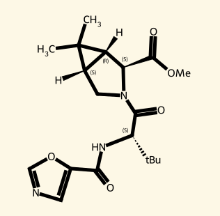 COC(=O)[C@@H]1[C@@H]2[C@H](CN1C(=O)[C@@H](NC(=O)c1cnco1)C(C)(C)C)C2(C)C